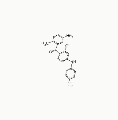 Cc1ccc(N)cc1C(=O)c1ccc(Nc2ccc(C(F)(F)F)cc2)cc1Cl